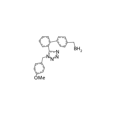 BCc1ccc(-c2ccccc2-c2nnnn2Cc2ccc(OC)cc2)cc1